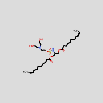 CCCCCCCC/C=C\CCCCCCCC(=O)OCC(COC(=O)CCCCCCC/C=C\CCCCCCCC)NS(=O)(=O)OCCN(CCO)CCO